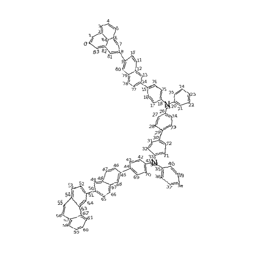 C1=CC2=CC=CC3=CC(c4ccc5cc(-c6ccc(N(c7ccccc7)c7ccc(-c8ccc(N(c9ccccc9)c9ccc(-c%10ccc%11cc(-c%12ccc%13ccc%14ccccc%14c%13c%12)ccc%11c%10)cc9)cc8)cc7)cc6)ccc5c4)=CC(=C1)C23